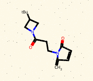 C=C1C=CC(=O)N1CCC(=O)N1CC(C(C)(C)C)C1